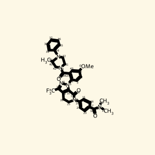 COc1ccc(-n2nc(C(F)(F)F)c3c2C(=O)N(c2ccc(C(=O)N(C)C)cc2)CC3)c(C(=O)N2CCN(c3ccccc3)C(C)C2)c1